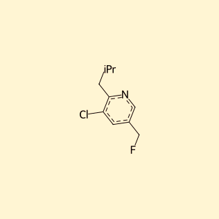 CC(C)Cc1ncc(CF)cc1Cl